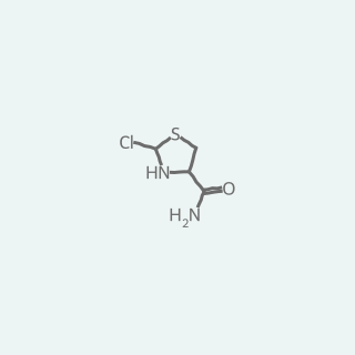 NC(=O)C1CSC(Cl)N1